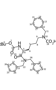 CC(C)(C)OC(=O)N[C@@H](CCCCN(Cc1ccccc1)C(=O)O)C(=O)N(Cc1ccsc1)Cc1ccsc1